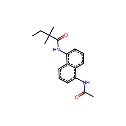 CCC(C)(C)C(=O)Nc1cccc2c(NC(C)=O)cccc12